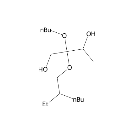 CCCCOC(CO)(OCC(CC)CCCC)C(C)O